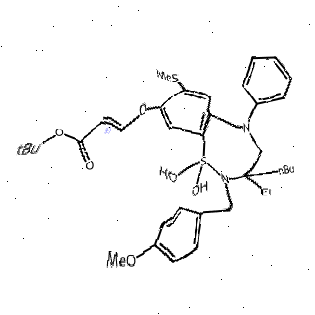 CCCCC1(CC)CN(c2ccccc2)c2cc(SC)c(O/C=C/C(=O)OC(C)(C)C)cc2S(O)(O)N1Cc1ccc(OC)cc1